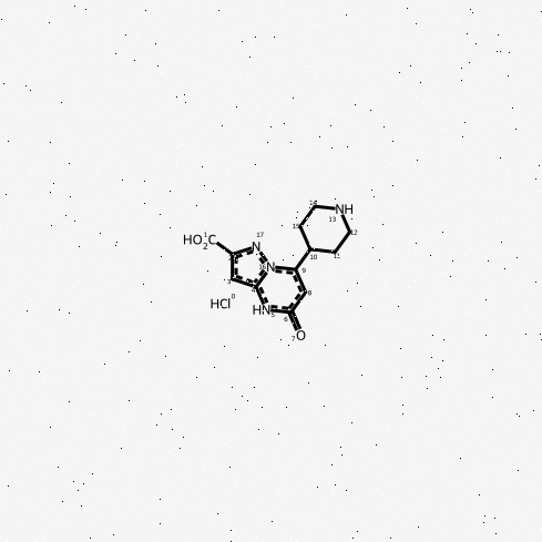 Cl.O=C(O)c1cc2[nH]c(=O)cc(C3CCNCC3)n2n1